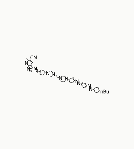 CCCCc1ccc(N=Nc2ccc(N=Nc3ccc(N4CCN(CCN5CCN(c6ccc(N=Nc7snc8nc(C)c(C#N)cc78)cc6)CC5)CC4)cc3)cc2)cc1